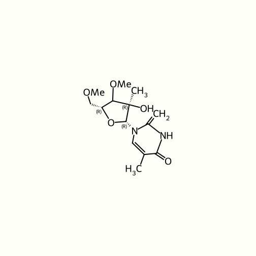 C=C1NC(=O)C(C)=CN1[C@@H]1O[C@H](COC)C(OC)[C@@]1(C)O